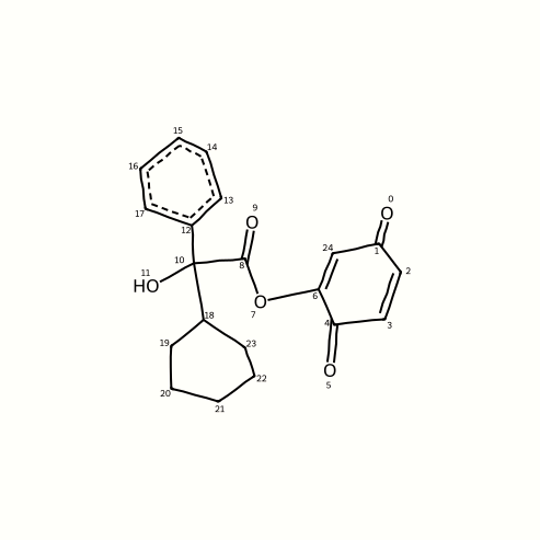 O=C1C=CC(=O)C(OC(=O)C(O)(c2ccccc2)C2CCCCC2)=C1